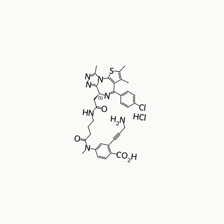 Cc1sc2c(c1C)C(c1ccc(Cl)cc1)=N[C@@H](CC(=O)NCCCC(=O)N(C)c1ccc(C(=O)O)c(C#CCN)c1)c1nnc(C)n1-2.Cl